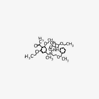 CCOc1cc([C@@H](C)N(CCO[C@@H](C)c2ccccc2)C(=O)NC2(C(=O)O)CC(OCC)C2)cc(OCC)c1C(C)=O